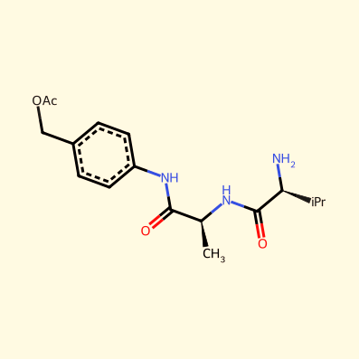 CC(=O)OCc1ccc(NC(=O)[C@H](C)NC(=O)[C@@H](N)C(C)C)cc1